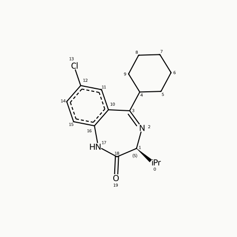 CC(C)[C@@H]1N=C(C2CCCCC2)c2cc(Cl)ccc2NC1=O